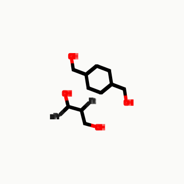 CCCC(O)C(CC)CO.OCC1CCC(CO)CC1